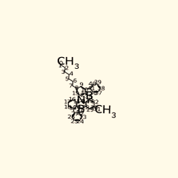 CCCCCCCCc1cc2c3c(c1)N1c4cccc5c4B(c4ccccc4-5)c4cc(C)cc(c41)B3c1ccccc1-2